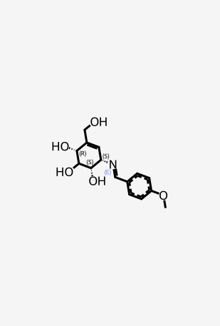 COc1ccc(/C=N/[C@H]2C=C(CO)[C@@H](O)C(O)[C@H]2O)cc1